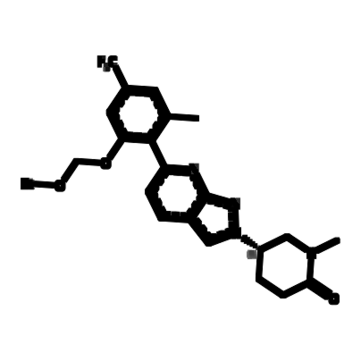 CCOCOc1cc(C(F)(F)F)cc(C)c1-c1ccc2cn([C@H]3CCC(=O)N(C)C3)nc2n1